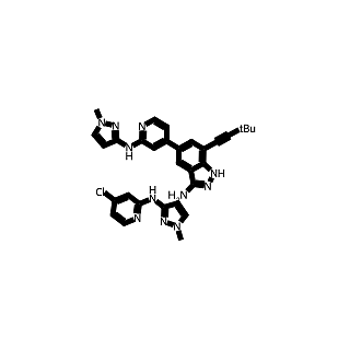 Cn1ccc(Nc2cc(-c3cc(C#CC(C)(C)C)c4[nH]nc(N)c4c3)ccn2)n1.Cn1ccc(Nc2cc(Cl)ccn2)n1